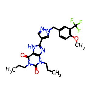 CCCn1c(=O)c2[nH]c(-c3cnn(Cc4ccc(OC)c(C(F)(F)F)c4)c3)nc2n(CCC)c1=O